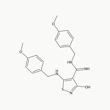 COc1ccc(CNC(=N)c2c(O)nsc2NCc2ccc(OC)cc2)cc1